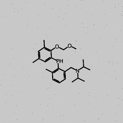 COCOc1c(C)cc(C)cc1Pc1c(C)cccc1CN(C(C)C)C(C)C